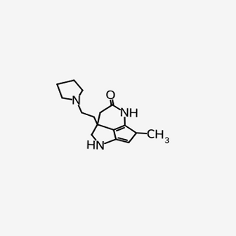 CC1C=C2NCC3(CCN4CCCC4)CC(=O)NC1=C23